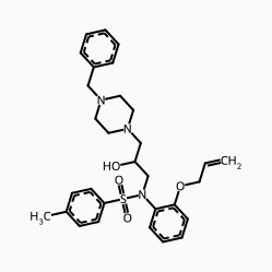 C=CCOc1ccccc1N(CC(O)CN1CCN(Cc2ccccc2)CC1)S(=O)(=O)c1ccc(C)cc1